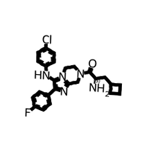 N[C@@H](CC1CCC1)C(=O)N1CCn2c(nc(-c3ccc(F)cc3)c2Nc2ccc(Cl)cc2)C1